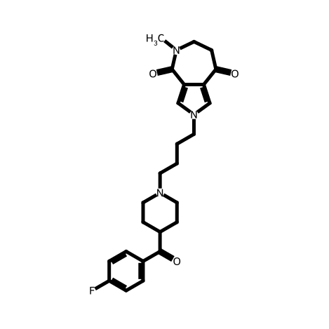 CN1CCC(=O)c2cn(CCCCN3CCC(C(=O)c4ccc(F)cc4)CC3)cc2C1=O